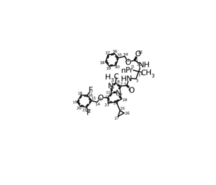 CCCC(C)(CNC(=O)c1c(C)nc2c(OCc3c(F)cccc3F)cc(C3CC3)cn12)NC(=O)OCc1ccccc1